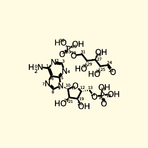 Nc1ncnc2c1ncn2[C@@H]1O[C@H](COP(=O)(O)O)[C@@H](O)[C@H]1O.O=C[C@H](O)[C@H](O)[C@H](O)COP(=O)(O)O